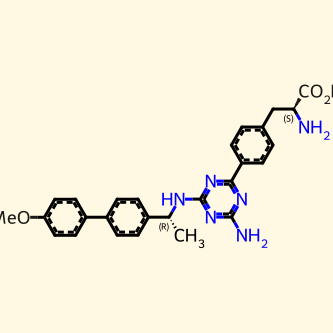 COc1ccc(-c2ccc([C@@H](C)Nc3nc(N)nc(-c4ccc(C[C@H](N)C(=O)O)cc4)n3)cc2)cc1